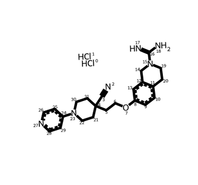 Cl.Cl.N#CC1(CCOc2ccc3c(c2)CN(C(=N)N)CC3)CCN(c2ccncc2)CC1